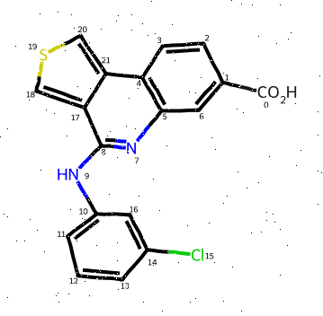 O=C(O)c1ccc2c(c1)nc(Nc1cccc(Cl)c1)c1cscc12